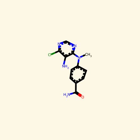 CN(c1ccc(C(N)=O)cc1)c1ncnc(Cl)c1N